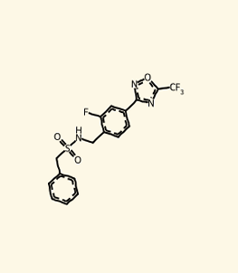 O=S(=O)(Cc1ccccc1)NCc1ccc(-c2noc(C(F)(F)F)n2)cc1F